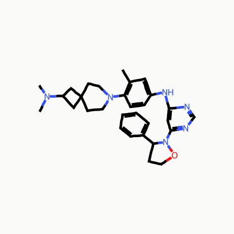 Cc1cc(Nc2cc(N3OCCC3c3ccccc3)ncn2)ccc1N1CCC2(CC1)CC(N(C)C)C2